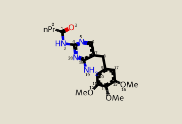 CCCC(=O)Nc1ncc(Cc2cc(OC)c(OC)c(OC)c2)c(N)n1